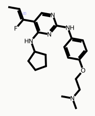 C/C=C(\F)c1cnc(Nc2ccc(OCCN(C)C)cc2)nc1NC1CCCC1